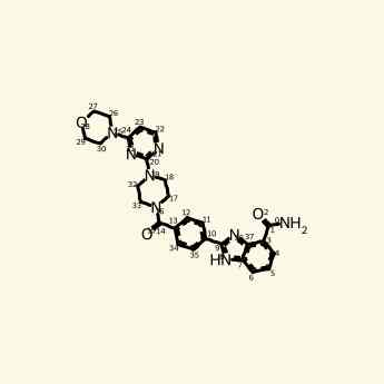 NC(=O)c1cccc2[nH]c(-c3ccc(C(=O)N4CCN(c5nccc(N6CCOCC6)n5)CC4)cc3)nc12